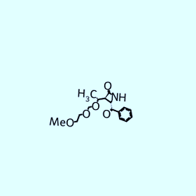 COCCOCO[C@H](C)[C@H]1C(=O)N[C@@H]1C(=O)c1ccccc1